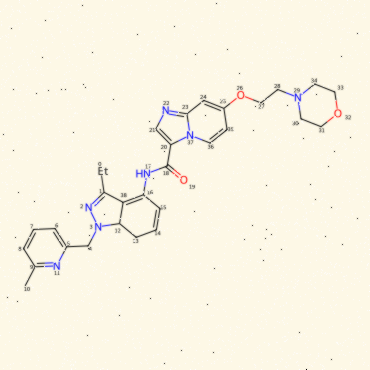 CCC1=NN(Cc2cccc(C)n2)C2CC=CC(NC(=O)c3cnc4cc(OCCN5CCOCC5)ccn34)=C12